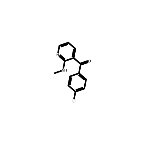 CNc1ncccc1C(=O)c1ccc(Cl)cc1